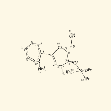 CC(C)[Si](O[C@H]1[C@H](C)C=C(c2ccncc2N)O[C@@H]1CO)(C(C)C)C(C)C